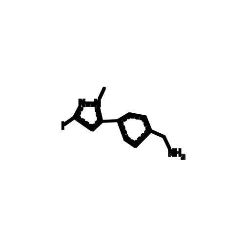 Cn1nc(I)cc1-c1ccc(CN)cc1